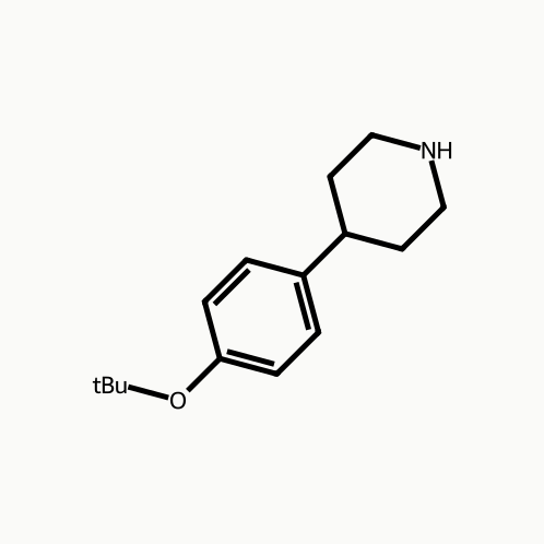 CC(C)(C)Oc1ccc(C2CCNCC2)cc1